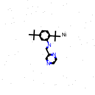 CC(C)(C)c1ccc(C(C)(C)C)c(N=Cc2cnccn2)c1.[Ni]